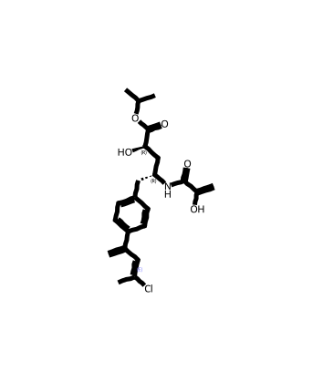 C=C(O)C(=O)N[C@H](Cc1ccc(C(=C)/C=C(\C)Cl)cc1)C[C@@H](O)C(=O)OC(C)C